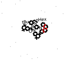 CCCCCCC1(C)Cc2cc(C(C)(C)C)cc3c2N1c1cc(N(c2ccccc2-c2ccccc2)c2ccccc2-c2ccccc2)cc2c1B3c1c(oc3cc4c(cc13)C(C)(C)CCC4(C)C)N2c1ccc2c(c1)C(C)(C)CCC2(C)C